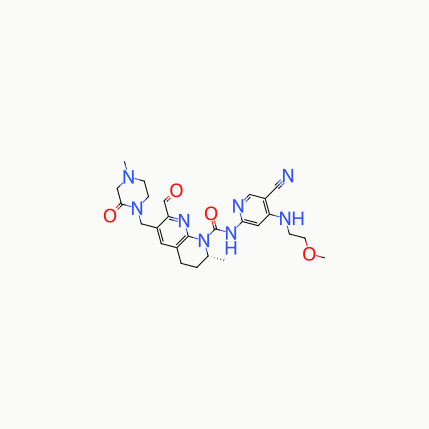 COCCNc1cc(NC(=O)N2c3nc(C=O)c(CN4CCN(C)CC4=O)cc3CC[C@H]2C)ncc1C#N